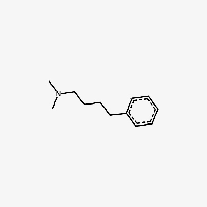 CN(C)CCCCc1[c]cccc1